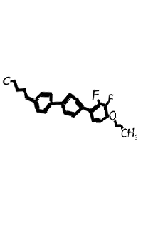 CCCCCc1ccc(-c2ccc(-c3ccc(OCCC)c(F)c3F)cc2)cc1